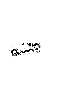 CC(=O)Nc1ccnc(=O)n1CCCCCCOC1CCCCO1